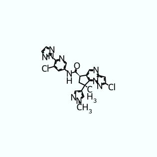 Cn1cc([C@]2(C)C[C@@H](C(=O)Nc3cnc(-n4nccn4)c(Cl)c3)c3cnc4cc(Cl)nn4c32)cn1